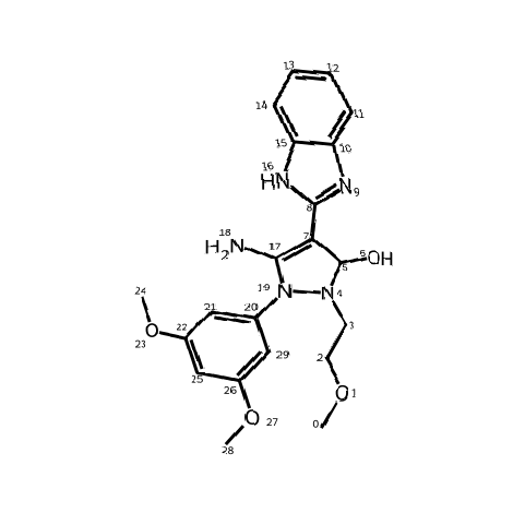 COCCN1C(O)C(c2nc3ccccc3[nH]2)=C(N)N1c1cc(OC)cc(OC)c1